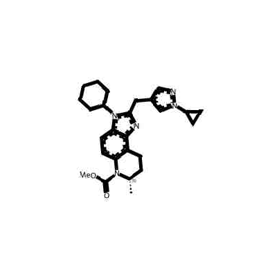 COC(=O)N1c2ccc3c(nc(Cc4cnn(C5CC5)c4)n3C3CCCCC3)c2CC[C@@H]1C